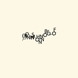 CC(C)CC(NC(C)c1nc(-c2ccc3ncnc(Nc4ccc(OCc5cccc(F)c5)c(Br)c4)c3c2)cs1)=S(=O)=O